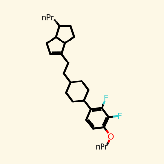 CCCOc1ccc(C2CCC(CCC3=CCC4C(CCC)CCC34)CC2)c(F)c1F